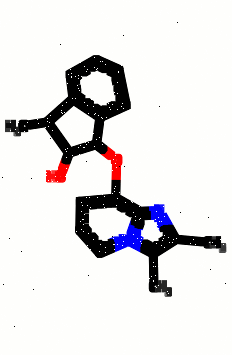 Cc1nc2c(OC3c4ccccc4C(C)C3O)cccn2c1C